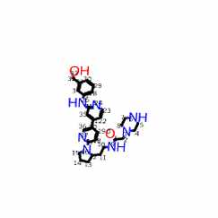 O=C(CN1CCNCC1)NCCC1CCCN1c1ccc(-c2ccnc(Nc3cccc(CO)c3)c2)cn1